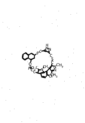 Cc1nn(C)c2c1-c1c(Cl)ccc3c(c(C(=O)O)n(C)c13)CCCOc1cc(cc3ccccc13)SCc1cc(n[nH]1)CSC2